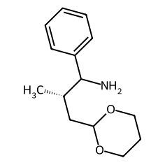 C[C@@H](CC1OCCCO1)C(N)c1ccccc1